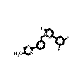 Cc1cnc(-c2cccc(Cn3nc(-c4cc(F)cc(F)c4)ccc3=O)c2)nc1